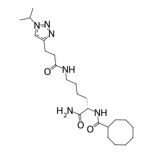 CC(C)n1cc(CCC(=O)NCCCC[C@H](NC(=O)C2CCCCCCC2)C(N)=O)nn1